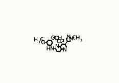 COc1cc(Nc2ccc3ncc(-c4cnn(C)c4)c(Cl)c3n2)cc(OC)c1